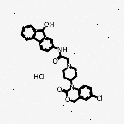 Cl.O=C(CN1CCC(N2C(=O)OCc3cc(Cl)ccc32)CC1)Nc1ccc2c(c1)C(O)c1ccccc1-2